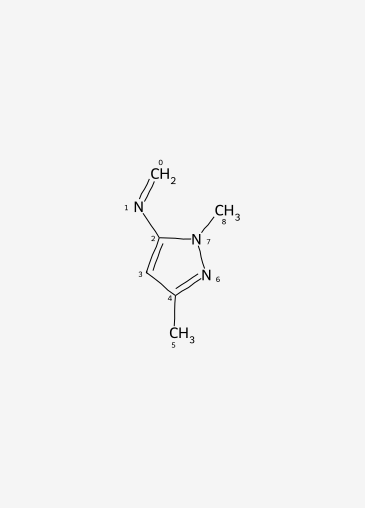 C=Nc1cc(C)nn1C